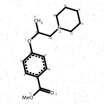 COC(=O)c1ccc(OC(C)CN2CCCCC2)cc1